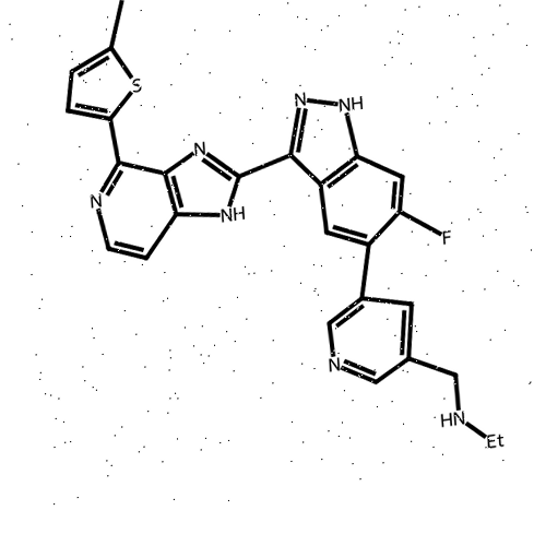 CCNCc1cncc(-c2cc3c(-c4nc5c(-c6ccc(C)s6)nccc5[nH]4)n[nH]c3cc2F)c1